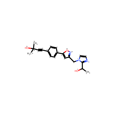 CC(O)c1nccn1Cc1cc(-c2ccc(C#CC(C)(C)O)cc2)on1